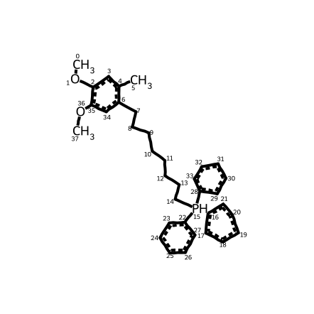 COc1cc(C)c(CCCCCCCC[PH](c2ccccc2)(c2ccccc2)c2ccccc2)cc1OC